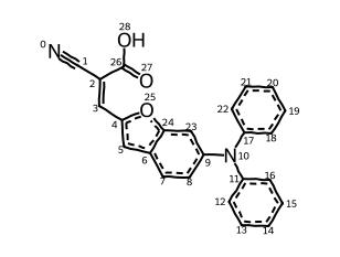 N#CC(=Cc1cc2ccc(N(c3ccccc3)c3ccccc3)cc2o1)C(=O)O